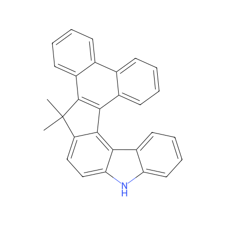 CC1(C)c2ccc3[nH]c4ccccc4c3c2-c2c1c1ccccc1c1ccccc21